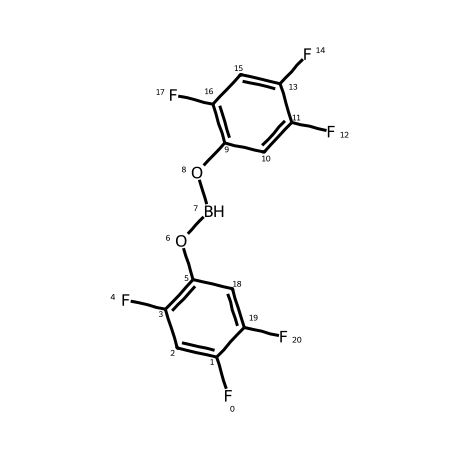 Fc1cc(F)c(OBOc2cc(F)c(F)cc2F)cc1F